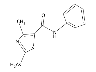 Cc1nc([AsH2])sc1C(=O)Nc1ccccc1